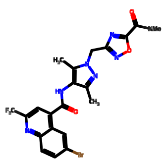 CNC(=O)c1nc(Cn2nc(C)c(NC(=O)c3cc(C(F)(F)F)nc4ccc(Br)cc34)c2C)no1